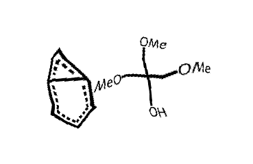 COC(O)(OC)OC.c1cc2cc-2c1